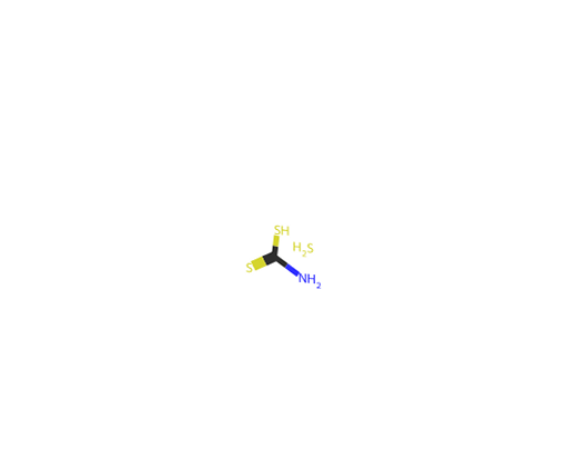 NC(=S)S.S